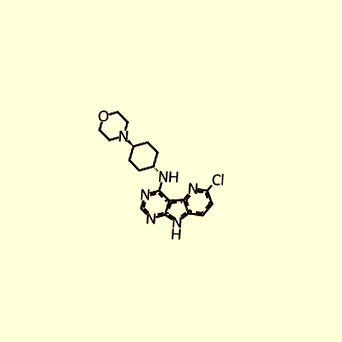 Clc1ccc2[nH]c3ncnc(N[C@H]4CC[C@H](N5CCOCC5)CC4)c3c2n1